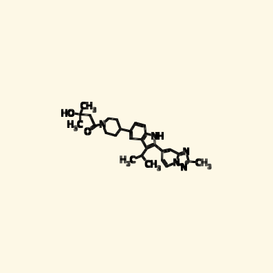 Cc1nc2cc(-c3[nH]c4ccc(C5CCN(C(=O)CC(C)(C)O)CC5)cc4c3C(C)C)ccn2n1